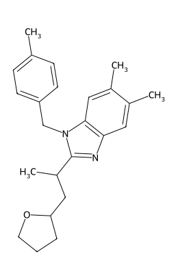 Cc1ccc(Cn2c(C(C)CC3CCCO3)nc3cc(C)c(C)cc32)cc1